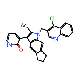 CC(=O)c1c(-c2ccc[nH]c2=O)c2cc3c(cc2n1Cc1cnc2ccccc2c1Cl)CCC3